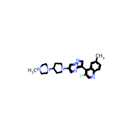 Cc1ccc2ncc(F)c(-c3cnn4cc(N5CCC(N6CCN(C)CC6)CC5)cnc34)c2c1